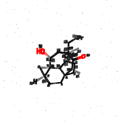 CO[C@@H]1CCC23CC[C@H]4C[C@@]4(C12)[C@H](O)C[C@@](C)(CC(C)C)C(=O)[C@@H]3C